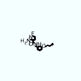 C#CCCCOc1cccc(CNC(=O)c2ccc(F)nc2N)c1